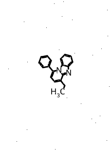 CCc1ccc(-c2ccccc2)n2c1nc1ccccc12